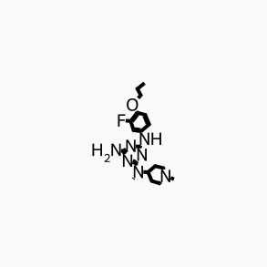 CCCOc1ccc(Nc2nc(N)nc(N(C)C3CCN(C)CC3)n2)cc1F